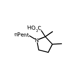 CCCCCN1CCC(C)C1(C)C(=O)O